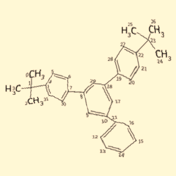 CC(C)(C)c1ccc(-c2cc(-c3ccccc3)cc(-c3ccc(C(C)(C)C)cc3)c2)cc1